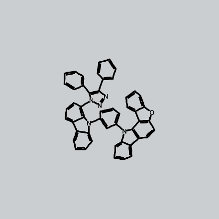 c1ccc(-c2nnn(-c3cccc4c5ccccc5n(-c5cccc(-n6c7ccccc7c7ccc8oc9ccccc9c8c76)c5)c34)c2-c2ccccc2)cc1